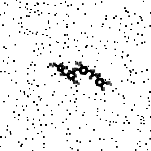 Cc1cc(Nc2cc(N)n[nH]2)nc(Nc2ccc(NC(=O)Nc3ccc(Cl)c(C(F)(F)F)c3)cc2C)n1